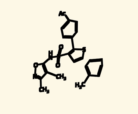 CC(=O)c1ccc(-c2sccc2S(=O)(=O)Nc2onc(C)c2C)cc1.Cc1ccccc1